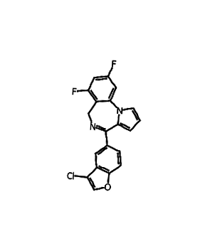 Fc1cc(F)c2c(c1)-n1cccc1C(c1ccc3occ(Cl)c3c1)=NC2